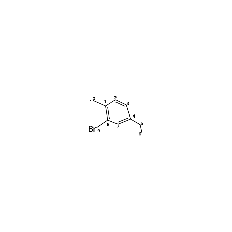 [CH2]c1ccc(CC)cc1Br